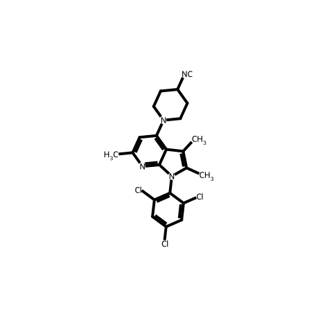 [C-]#[N+]C1CCN(c2cc(C)nc3c2c(C)c(C)n3-c2c(Cl)cc(Cl)cc2Cl)CC1